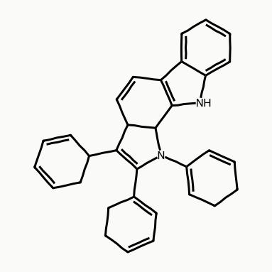 C1=CCCC(C2=C(C3C=CC=CC3)C3C=Cc4c([nH]c5ccccc45)C3N2C2=CCCC=C2)=C1